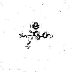 C[Si](C)(C)CCOCN(COCC[Si](C)(C)C)c1c(Br)c([C@H]2C[C@@H]3CC[C@@H](C3)C2)nc2c(-c3ccc(C=O)nc3)cnn12